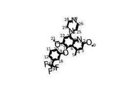 COc1cc(C)c2c(Oc3cccc(C(F)(F)F)c3)c(OC)cc(N3C=CN=CC3)c2n1